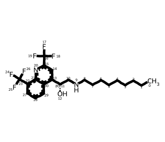 CCCCCCCCCNC[C@H](O)c1cc(C(F)(F)F)nc2c(C(F)(F)F)cccc12